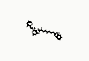 Fc1cccnc1CNc1nccc2oc([C@@H](F)CCCCCCc3nc4ccccc4[nH]3)nc12